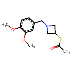 COc1ccc(CN2CC(SC(C)=O)C2)cc1OC